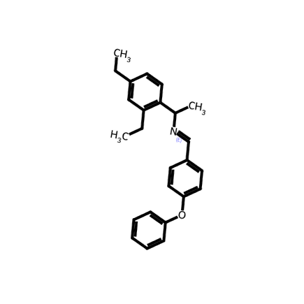 CCc1ccc(C(C)/N=C/c2ccc(Oc3ccccc3)cc2)c(CC)c1